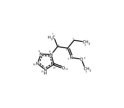 CCC(=NOC)C(C)n1nn[nH]c1=O